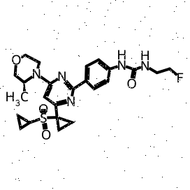 C[C@H]1COCCN1c1cc(C2(S(=O)(=O)C3CC3)CC2)nc(-c2ccc(NC(=O)NCCF)cc2)n1